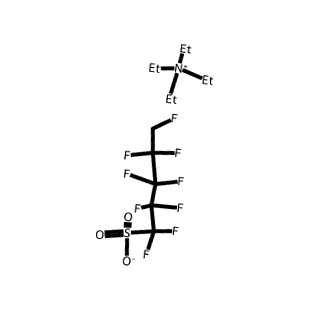 CC[N+](CC)(CC)CC.O=S(=O)([O-])C(F)(F)C(F)(F)C(F)(F)C(F)(F)CF